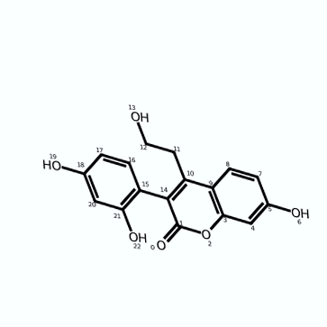 O=c1oc2cc(O)ccc2c(CCO)c1-c1ccc(O)cc1O